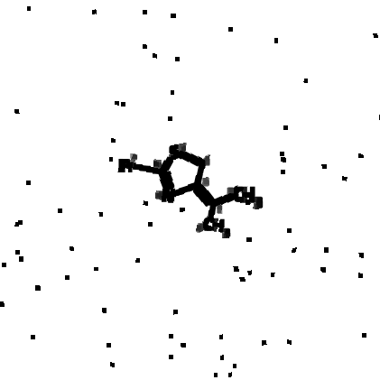 CC(C)=C1CSC(C(C)C)=N1